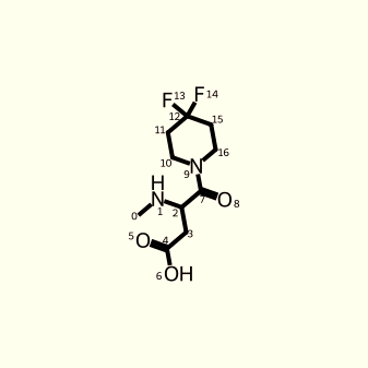 CNC(CC(=O)O)C(=O)N1CCC(F)(F)CC1